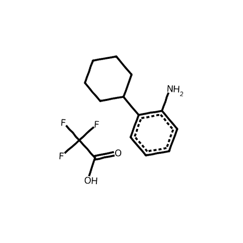 Nc1ccccc1C1CCCCC1.O=C(O)C(F)(F)F